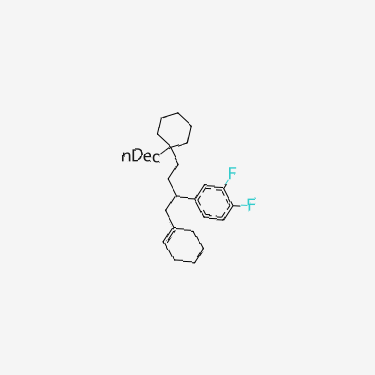 CCCCCCCCCCC1(CCC(CC2=CCCCC2)c2ccc(F)c(F)c2)CCCCC1